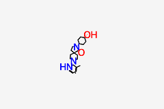 CC1=C[C]=CNC1N1CCC2(CC1)CCN([C@H]1CC[C@@H](O)CC1)C2=O